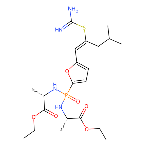 CCOC(=O)[C@H](C)NP(=O)(N[C@@H](C)C(=O)OCC)c1ccc(/C=C(\CC(C)C)SC(=N)N)o1